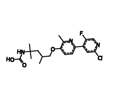 Cc1nc(-c2cc(Cl)ncc2F)ccc1OCC(C)CC(C)(C)NC(=O)O